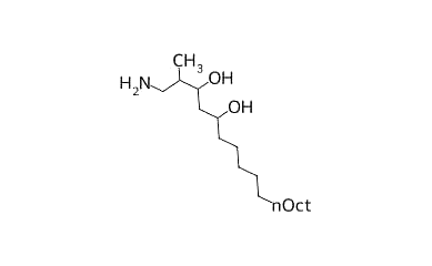 CCCCCCCCCCCCCC(O)CC(O)C(C)CN